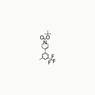 Cc1cc(C2=CCN(C(=O)OC(C)(C)C)CC2)cc(C(F)(F)F)c1